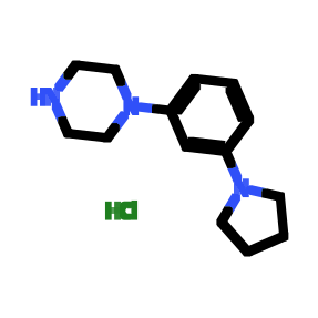 Cl.c1cc(N2CCCC2)cc(N2CCNCC2)c1